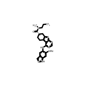 CSc1cc2[nH]ncc2cc1Nc1ncnc2sc3c(c12)CC[C@H](C(=O)N(C)CCC(F)(F)F)C3